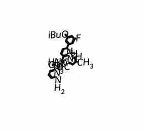 [2H]C1([2H])[C@@H](C)CC(C)(C)N1c1nc(-c2cc(F)cc(OCC(C)C)c2)ccc1C(=O)NS(=O)(=O)c1cccc(N)n1